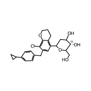 OCC1OC(c2cc(Cc3ccc(C4CC4)cc3)c(Cl)c3c2CCCO3)CC(O)[C@@H]1O